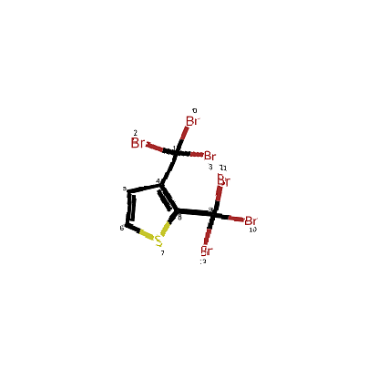 BrC(Br)(Br)c1ccsc1C(Br)(Br)Br